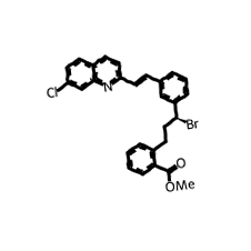 COC(=O)c1ccccc1CC[C@H](Br)c1cccc(/C=C/c2ccc3ccc(Cl)cc3n2)c1